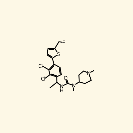 CC(NC(=O)N(C)C1CCN(C)CC1)c1ccc(-c2ccc(CF)s2)c(Cl)c1Cl